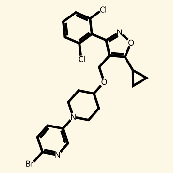 Clc1cccc(Cl)c1-c1noc(C2CC2)c1COC1CCN(c2ccc(Br)nc2)CC1